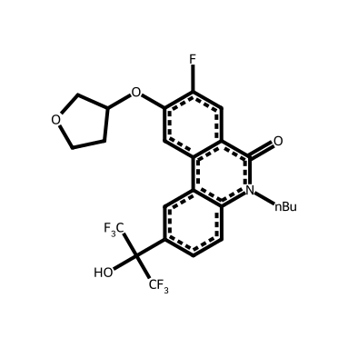 CCCCn1c(=O)c2cc(F)c(OC3CCOC3)cc2c2cc(C(O)(C(F)(F)F)C(F)(F)F)ccc21